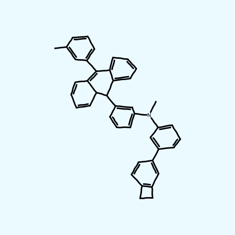 Cc1cccc(C2=C3C=CC=CC3C(c3cccc(N(C)c4cccc(-c5ccc6c(c5)CC6)c4)c3)c3ccccc32)c1